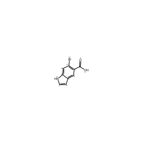 O=C(O)c1cc2cc[nH]c2cc1Br